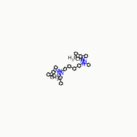 CC1(C)c2ccccc2-c2cc3c4ccccc4n(-c4nc(-c5ccccc5)nc(-c5ccc(-c6cccc(-c7cccc(-c8ccc(-c9nc(-c%10ccc(-c%11ccccc%11)cc%10)nc(-n%10c%11ccccc%11c%11cc%12c(cc%11%10)C(C)(C)c%10ccccc%10-%12)n9)cc8)c7)c6)cc5)n4)c3cc21